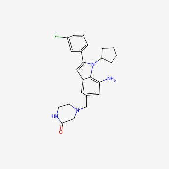 Nc1cc(CN2CCNC(=O)C2)cc2cc(-c3cccc(F)c3)n(C3CCCC3)c12